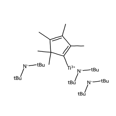 CC(C)(C)[N-]C(C)(C)C.CC(C)(C)[N-]C(C)(C)C.CC(C)(C)[N-]C(C)(C)C.CC1=C(C)C(C)(C)[C]([Ti+3])=C1C